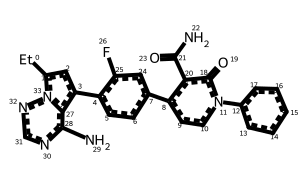 CCc1cc(-c2ccc(-c3ccn(-c4ccccc4)c(=O)c3C(N)=O)cc2F)c2c(N)ncnn12